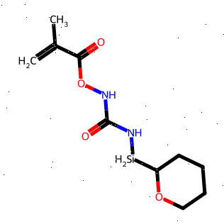 C=C(C)C(=O)ONC(=O)N[SiH2]C1CCCCO1